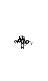 COc1cc(Cl)c2c(c1)NC(=O)C(C)(c1ccc(Br)cc1)C2=O